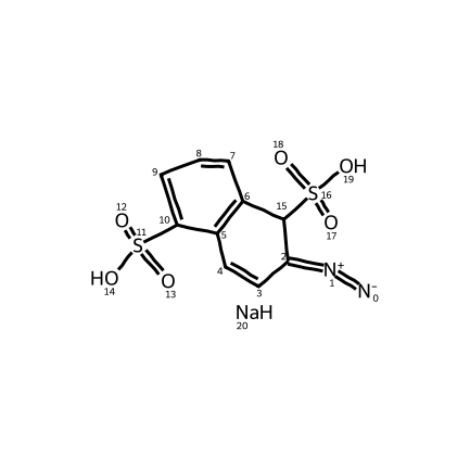 [N-]=[N+]=C1C=Cc2c(cccc2S(=O)(=O)O)C1S(=O)(=O)O.[NaH]